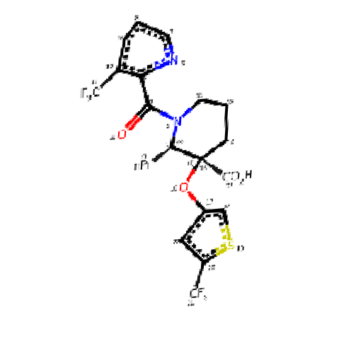 CCC[C@H]1N(C(=O)c2ncccc2C(F)(F)F)CCC[C@@]1(Oc1csc(C(F)(F)F)c1)C(=O)O